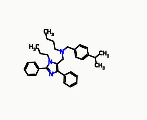 CCCCN(Cc1ccc(C(C)C)cc1)Cc1c(-c2ccccc2)nc(-c2ccccc2)n1CCC